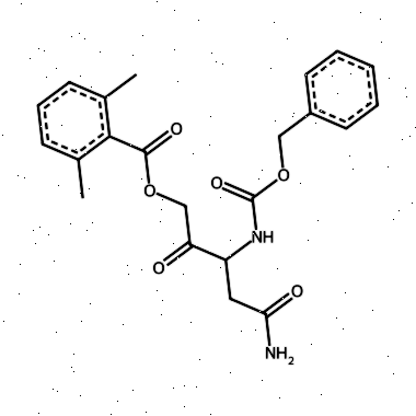 Cc1cccc(C)c1C(=O)OCC(=O)C(CC(N)=O)NC(=O)OCc1ccccc1